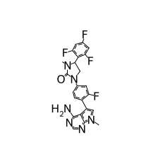 CN1C(=O)N(c2ccc(-c3cn(C)c4ncnc(N)c34)c(F)c2)CC1c1c(F)cc(F)cc1F